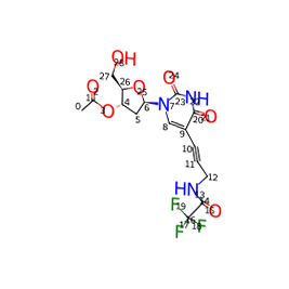 CC(=O)O[C@H]1C[C@H](n2cc(C#CCNC(=O)C(F)(F)F)c(=O)[nH]c2=O)O[C@@H]1CO